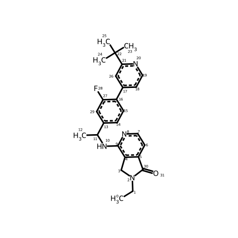 CCN1Cc2c(ccnc2NC(C)c2ccc(-c3ccnc(C(C)(C)C)c3)c(F)c2)C1=O